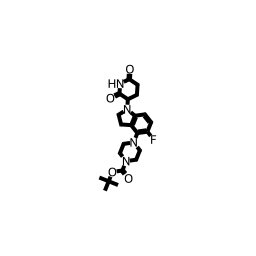 CC(C)(C)OC(=O)N1CCN(c2c(F)ccc3c2CCN3C2CCC(=O)NC2=O)CC1